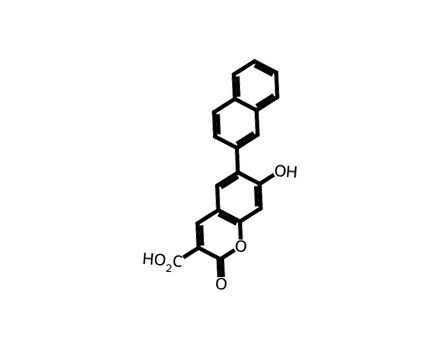 O=C(O)c1cc2cc(-c3ccc4ccccc4c3)c(O)cc2oc1=O